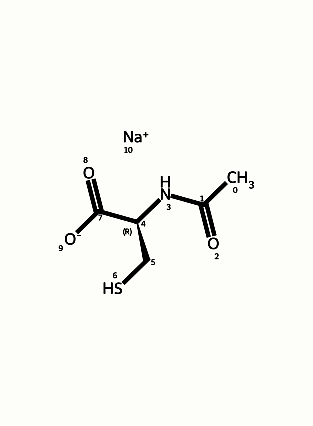 CC(=O)N[C@@H](CS)C(=O)[O-].[Na+]